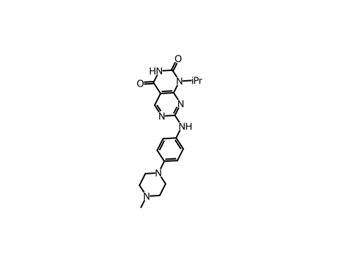 CC(C)n1c(=O)[nH]c(=O)c2cnc(Nc3ccc(N4CCN(C)CC4)cc3)nc21